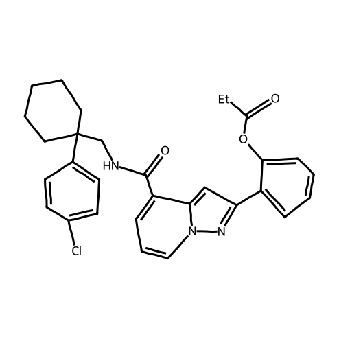 CCC(=O)Oc1ccccc1-c1cc2c(C(=O)NCC3(c4ccc(Cl)cc4)CCCCC3)cccn2n1